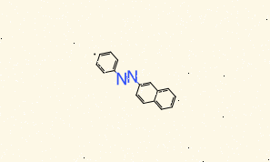 [c]1ccc(/N=N/c2ccc3ccccc3c2)cc1